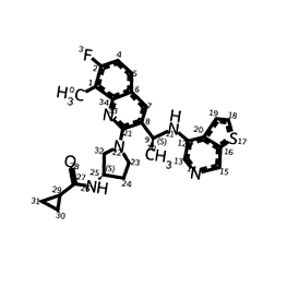 Cc1c(F)ccc2cc([C@H](C)Nc3cncc4sccc34)c(N3CC[C@H](NC(=O)C4CC4)C3)nc12